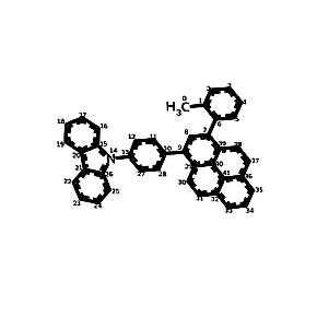 Cc1ccccc1-c1cc(-c2ccc(-n3c4ccccc4c4ccccc43)cc2)c2ccc3cccc4ccc1c2c34